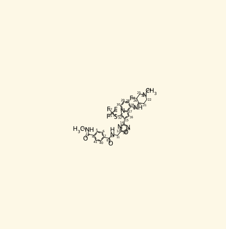 CNC(=O)c1ccc(C(=O)NCc2nc(-c3cc4c(N[C@@H]5CCN(C)C[C@@H]5F)cccn4c3SC(F)(F)F)no2)cc1